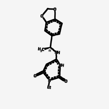 CCn1c(=O)cc(N[C@@H](C)c2ccc3c(c2)OCO3)[nH]c1=O